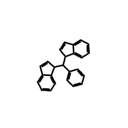 C1=CC(C(c2ccccc2)C2C=Cc3ccccc32)c2ccccc21